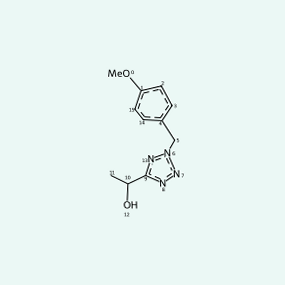 COc1ccc(Cn2nnc(C(C)O)n2)cc1